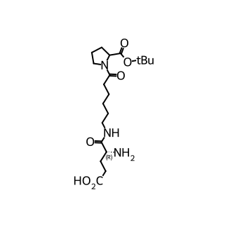 CC(C)(C)OC(=O)C1CCCN1C(=O)CCCCCNC(=O)[C@H](N)CCC(=O)O